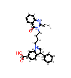 Cc1nc2ccccc2c(=O)n1CCCCn1cc(-c2ccccc2)c2ccc(C(=O)O)cc21